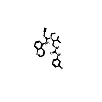 C#CN=C(Nc1cccc2ncccc12)N(CC)C(CNC(=O)Nc1cccc(F)c1)C(C)C